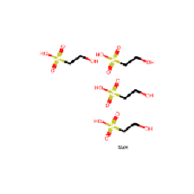 O=S(=O)(O)CCO.O=S(=O)(O)CCO.O=S(=O)(O)CCO.O=S(=O)(O)CCO.[NaH]